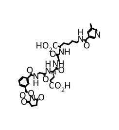 Cc1cncc(C(=O)NCCCCC(NC(=O)CNC(=O)[C@@H](CCC(=O)O)NC(=O)CNC(=O)c2cccc(C(=O)ON3C(=O)CCC3=O)c2)C(=O)O)c1